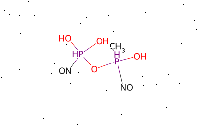 C[PH](O)(N=O)O[PH](O)(O)N=O